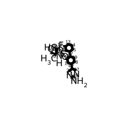 CC(CO)(CO)NS(=O)(=O)c1c(F)cccc1-c1ccc(-c2cnc(N)nc2)cc1